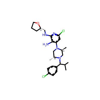 CC(C)C(c1ccc(Cl)cc1)N1C[C@H](C)N(c2cc(Cl)nc(NC[C@@H]3CCCO3)c2N)C[C@H]1C